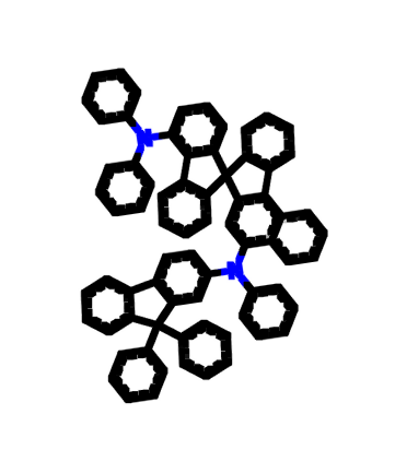 c1ccc(N(c2ccccc2)c2cccc3c2-c2ccccc2C32c3ccccc3-c3c2cc(N(c2ccccc2)c2ccc4c(c2)C(c2ccccc2)(c2ccccc2)c2ccccc2-4)c2ccccc32)cc1